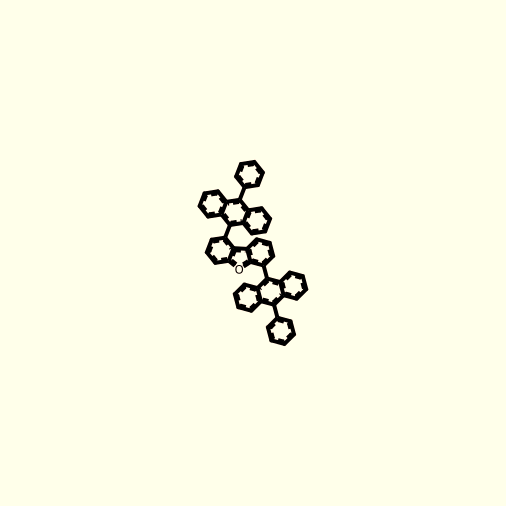 c1ccc(-c2c3ccccc3c(-c3cccc4c3oc3cccc(-c5c6ccccc6c(-c6ccccc6)c6ccccc56)c34)c3ccccc23)cc1